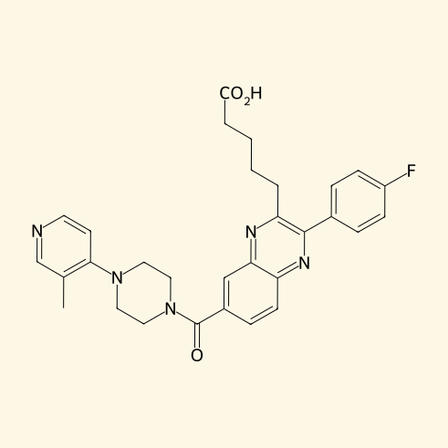 Cc1cnccc1N1CCN(C(=O)c2ccc3nc(-c4ccc(F)cc4)c(CCCCC(=O)O)nc3c2)CC1